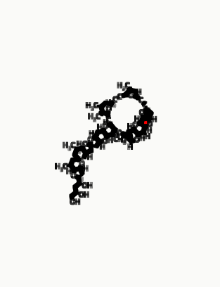 C=C1C[C@@H]2CC[C@@]34C[C@@H]5O[C@@H]6[C@@H](O[C@H]7CC[C@H](CC(=O)O[C@@H]8[C@@H](C)[C@@H]9O[C@@H]%10C[C@]%11(C[C@@H]%12C[C@@]%13(C[C@H](C)[C@@H]%12O%11)C[C@H](C)[C@@H]%11O[C@H]([C@H](O)C[C@H](O)CO)C[C@@H]%11O%13)O[C@@H]%10C[C@@H]9O[C@H]8CC8O[C@@H](CCC1O2)C[C@@H](C)C8=C)O[C@@H]7[C@@H]6O3)[C@H]5O4